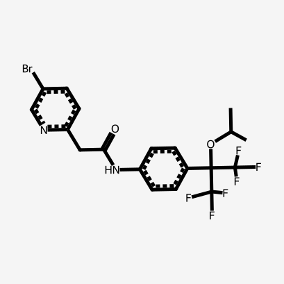 CC(C)OC(c1ccc(NC(=O)Cc2ccc(Br)cn2)cc1)(C(F)(F)F)C(F)(F)F